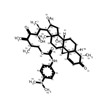 C=C(C(=O)[C@H](O)[C@@H](C)[C@H]1[C@@H](OC(C)=O)C[C@@]2(C)[C@@H]3CC[C@H]4[C@H](C)C(=O)C=C[C@@]45C[C@@]35CC[C@]12C)[C@@H](C)COC(=O)Nc1ccc(N(C)C)cc1